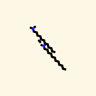 CC.CCCCCCCCCCCCN(C)C.CCCCCCCCCCCCN(C)C